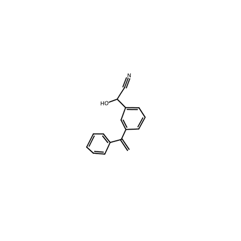 C=C(c1ccccc1)c1cccc(C(O)C#N)c1